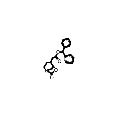 O=C(CC1CCN2CC1OC2=O)OC(c1ccccc1)c1ccccc1